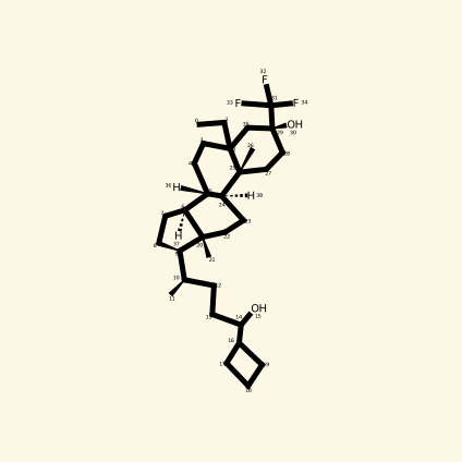 CCC12CC[C@H]3[C@@H]4CC[C@H]([C@H](C)CCC(O)C5CCC5)[C@@]4(C)CC[C@@H]3[C@@]1(C)CC[C@@](O)(C(F)(F)F)C2